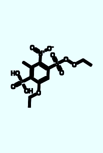 CCOOS(=O)(=O)c1cc(OCC)c(P(=O)(O)O)c(C)c1[N+](=O)[O-]